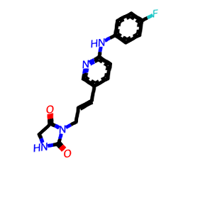 O=C1CNC(=O)N1C/C=C/c1ccc(Nc2ccc(F)cc2)nc1